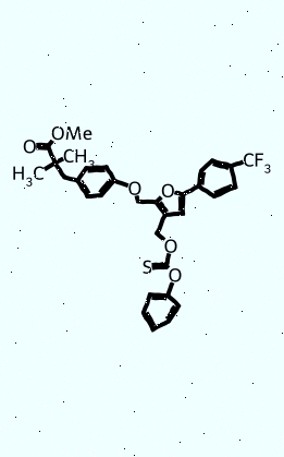 COC(=O)C(C)(C)Cc1ccc(OCc2oc(-c3ccc(C(F)(F)F)cc3)cc2COC(=S)Oc2ccccc2)cc1